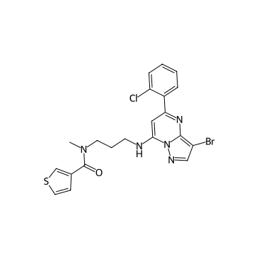 CN(CCCNc1cc(-c2ccccc2Cl)nc2c(Br)cnn12)C(=O)c1ccsc1